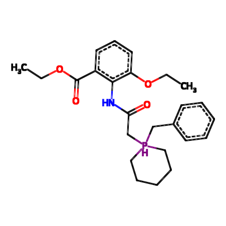 CCOC(=O)c1cccc(OCC)c1NC(=O)C[PH]1(Cc2ccccc2)CCCCC1